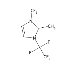 CC1N(C(F)(F)F)C=CN1C(F)(F)C(F)(F)F